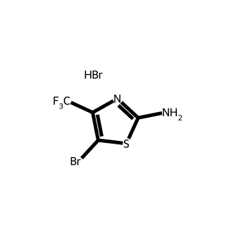 Br.Nc1nc(C(F)(F)F)c(Br)s1